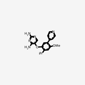 COc1cc(C(C)C)c(Oc2cnc(N)nc2N)cc1-c1ccncc1